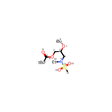 CC[C@H](C)O[C@H](COC(=O)C(C)(C)C)CN(CC)S(C)(=O)=O